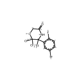 CCC1(c2cc(Br)ccc2F)NC(=O)COC1(Cl)C(F)(F)F